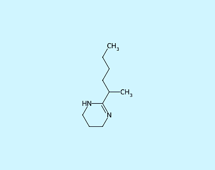 CCCCC(C)C1=NCCCN1